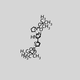 CC(C)(C)OC(=O)N1CCC[C@H]1c1ncc(-c2ccc(B3OC(C)(C)C(C)(C)O3)s2)[nH]1